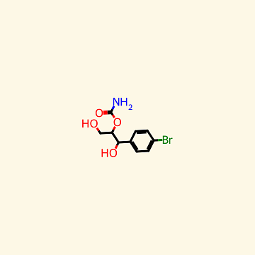 NC(=O)OC(CO)C(O)c1ccc(Br)cc1